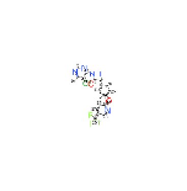 Cc1ncnc(NC(=O)Cc2ccc(Oc3ccc(C(F)(F)F)cn3)cc2)c1Cl